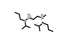 CCCN([SiH2]CC[SiH](C)N(CCC)C(C)C)C(C)C